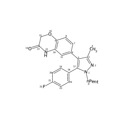 CCCCCn1nc(C)c(-c2ccc3c(c2)NC(=O)CO3)c1-c1ccc(F)cc1